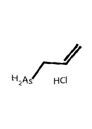 C=CC[AsH2].Cl